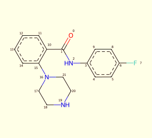 O=C(Nc1ccc(F)cc1)c1ccccc1N1CCNCC1